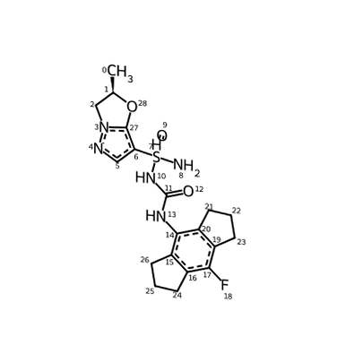 C[C@@H]1Cn2ncc([SH](N)(=O)NC(=O)Nc3c4c(c(F)c5c3CCC5)CCC4)c2O1